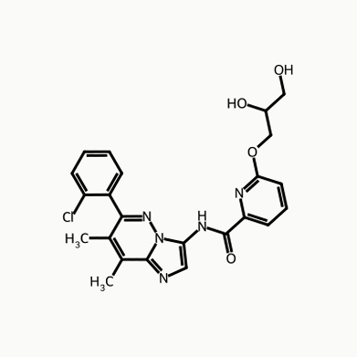 Cc1c(-c2ccccc2Cl)nn2c(NC(=O)c3cccc(OCC(O)CO)n3)cnc2c1C